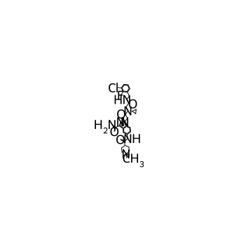 CN1CCC(C(=O)Nc2ccc3c(c2)c(C(N)=O)nn3CC(=O)N(CC(=O)NCc2cccc(Cl)c2F)C2CC2)CC1